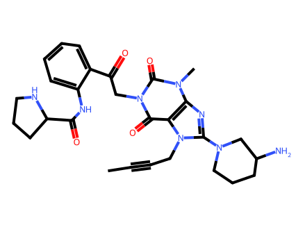 CC#CCn1c(N2CCCC(N)C2)nc2c1c(=O)n(CC(=O)c1ccccc1NC(=O)C1CCCN1)c(=O)n2C